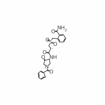 NC(=O)c1ccccc1CS(=O)(=O)C[CH]C(=O)N[C@@H]1CN(C(=O)c2ccccc2)CC1=O